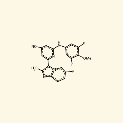 COc1c(F)cc(Nc2cc(C#N)cc(-c3c(C)nc4ccc(F)cn34)n2)cc1F